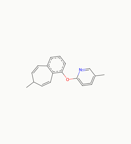 CC1=C=C=C(Oc2cccc3c2C=CC(C)C=C3)N=C1